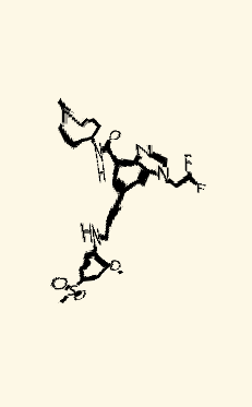 COc1cc(S(C)(=O)=O)ccc1NCC#Cc1cc(C(=O)NC2CCN(C)CC2)c2ncn(CC(F)F)c2c1